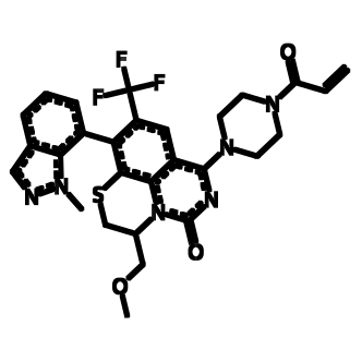 C=CC(=O)N1CCN(c2nc(=O)n3c4c(c(-c5cccc6cnn(C)c56)c(C(F)(F)F)cc24)SCC3COC)CC1